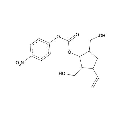 C=CC1CC(CO)C(OC(=O)Oc2ccc([N+](=O)[O-])cc2)C1CO